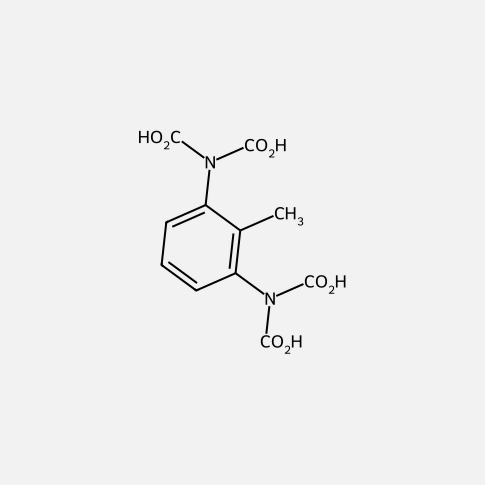 Cc1c(N(C(=O)O)C(=O)O)cccc1N(C(=O)O)C(=O)O